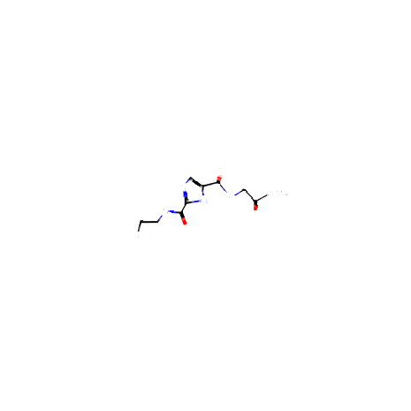 CNC(=O)CNC(=O)c1cnc(C(=O)NCCNC(C)=O)[nH]1